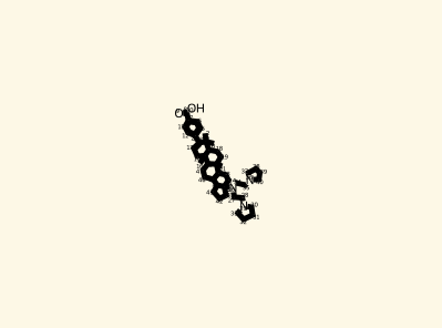 CC1(C)C(c2ccc(C(=O)O)cc2)=CCC2(C)C1CCC1(C)C3CCC4(N(CCN5CCCC5)CCN5CCCC5)CCCC4C3CCC12